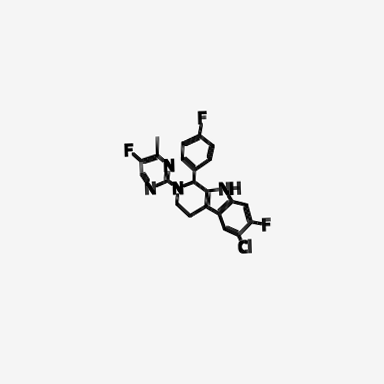 Cc1nc(N2CCc3c([nH]c4cc(F)c(Cl)cc34)C2c2ccc(F)cc2)ncc1F